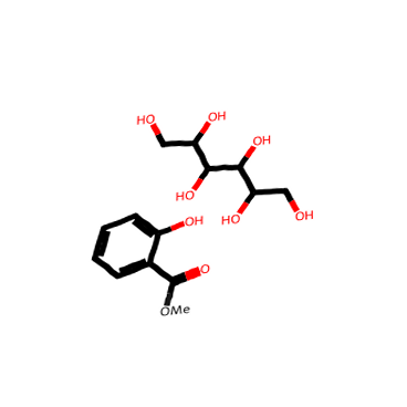 COC(=O)c1ccccc1O.OCC(O)C(O)C(O)C(O)CO